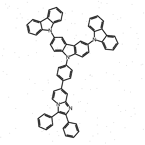 c1ccc(-c2nc3cc(-c4ccc(-n5c6ccc(-n7c8ccccc8c8ccccc87)cc6c6cc(-n7c8ccccc8c8ccccc87)ccc65)cc4)ccn3c2-c2ccccc2)cc1